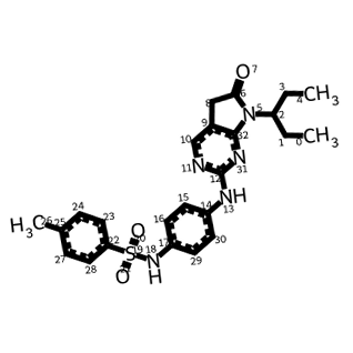 CCC(CC)N1C(=O)Cc2cnc(Nc3ccc(NS(=O)(=O)c4ccc(C)cc4)cc3)nc21